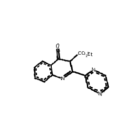 CCOC(=O)C1C(=O)c2ccccc2N=C1c1cnccn1